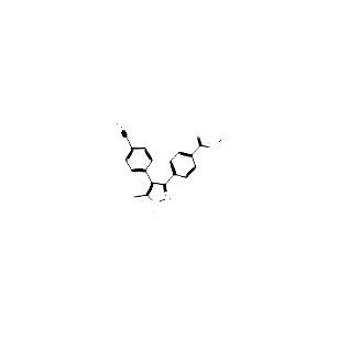 COC(=O)c1ccc(-c2n[nH]c(I)c2-c2ccc(C#N)cc2)cc1